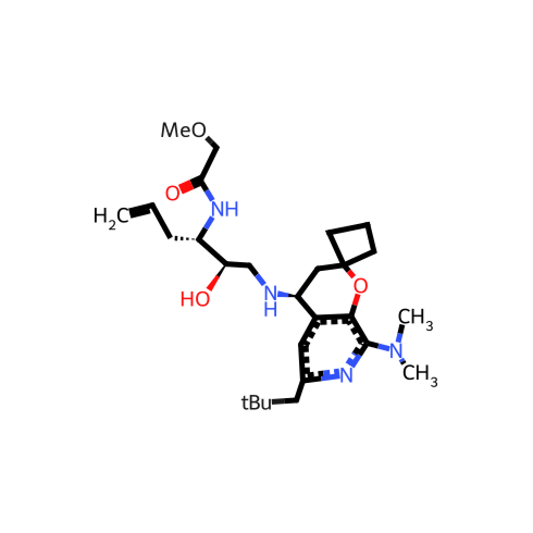 C=CC[C@H](NC(=O)COC)[C@H](O)CN[C@H]1CC2(CCC2)Oc2c1cc(CC(C)(C)C)nc2N(C)C